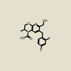 CC1COc2nc(CO)c(Cc3ccc(F)cc3F)cc2N1C(=O)O